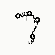 CCOc1ccc(CCCCOCc2cccc(C=Cc3cccc(NC(=O)CC4(C(=O)O)CCCCC4)c3)n2)cc1